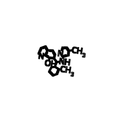 CC1=CC=CCC1C(Nc1cc(C)ccn1)c1ccc2cccnc2c1O